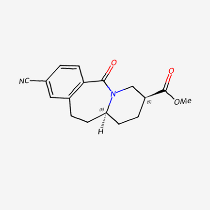 COC(=O)[C@H]1CC[C@H]2CCc3cc(C#N)ccc3C(=O)N2C1